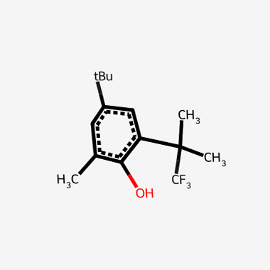 Cc1cc(C(C)(C)C)cc(C(C)(C)C(F)(F)F)c1O